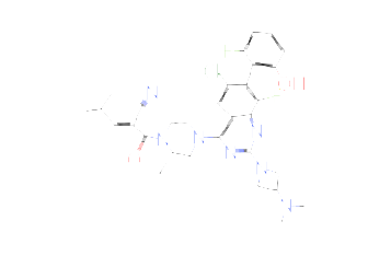 CC(C)/C=C(\C#N)C(=O)N1C[C@H](C)N(c2nc(N3CC(N(C)C)C3)nc3c(F)c(-c4c(O)cccc4F)c(Cl)cc23)C[C@H]1C